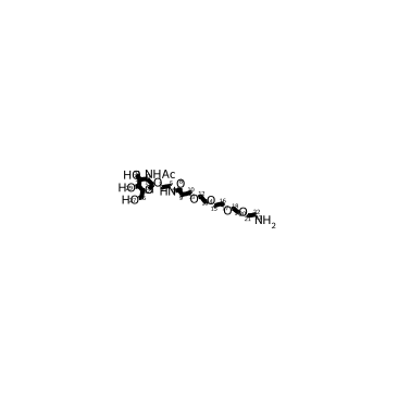 CC(=O)NC1C(OCCNC(=O)CCOCCOCCOCCOCCN)OC(CO)C(O)C1O